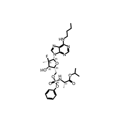 CCCCNc1ncnc2c1ncn2[C@@H]1O[C@H](CO[P@](=O)(N[C@@H](C)C(=O)OC(C)C)Oc2ccccc2)[C@@H](O)[C@@]1(C)F